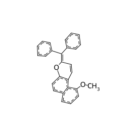 COc1cccc2ccc3c(c12)C=CC(=C(c1ccccc1)c1ccccc1)O3